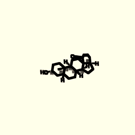 C[C@]12CC[C@@H](O)C[C@H]1CC[C@H]1[C@@H]3CC[C@@H]4CC=CC(=O)C43CC[C@@H]12